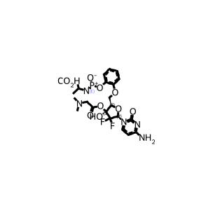 CC(/N=[P+](\[O-])Oc1ccccc1OC[C@H]1O[C@@H](n2ccc(N)nc2=O)C(F)(F)[C@@]1(O)OC(=O)CN(C)C)C(=O)O